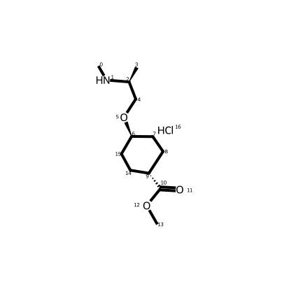 CN[C@@H](C)CO[C@H]1CC[C@H](C(=O)OC)CC1.Cl